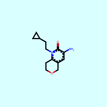 Nc1cc2c(n(CCC3CC3)c1=O)CCOC2